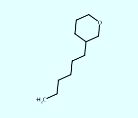 [CH2]CCCCCC1CCCOC1